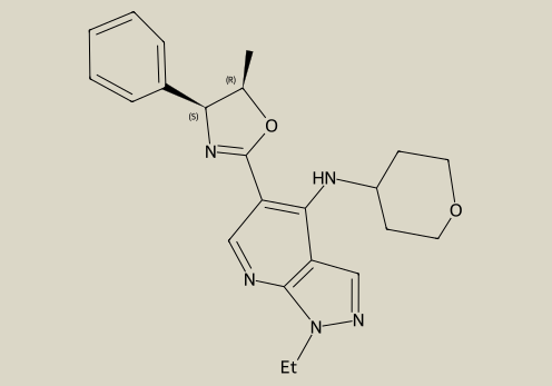 CCn1ncc2c(NC3CCOCC3)c(C3=N[C@@H](c4ccccc4)[C@@H](C)O3)cnc21